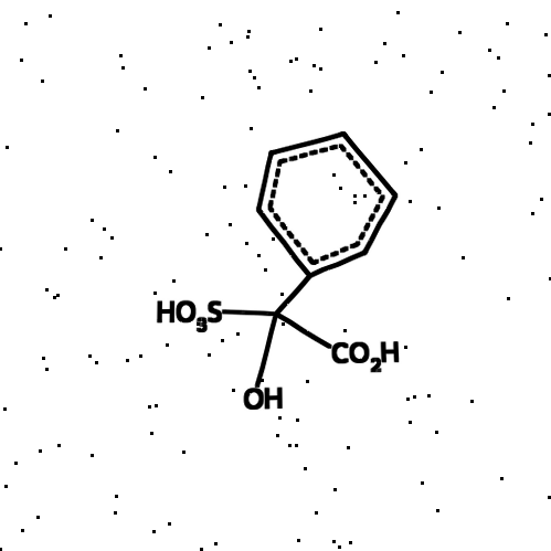 O=C(O)C(O)(c1ccccc1)S(=O)(=O)O